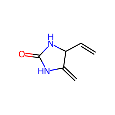 C=CC1NC(=O)NC1=C